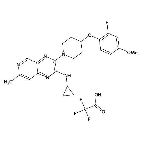 COc1ccc(OC2CCN(c3nc4cnc(C)cc4nc3NC3CC3)CC2)c(F)c1.O=C(O)C(F)(F)F